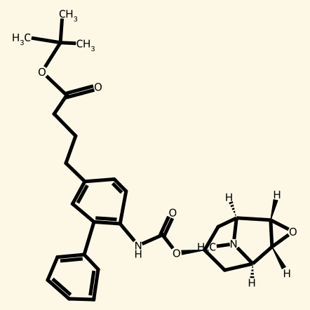 CN1[C@@H]2C[C@@H](OC(=O)Nc3ccc(CCCC(=O)OC(C)(C)C)cc3-c3ccccc3)C[C@H]1[C@@H]1O[C@@H]12